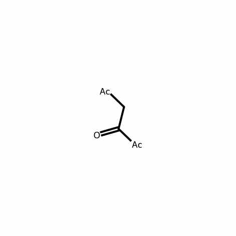 CC(=O)CC(=O)C(C)=O